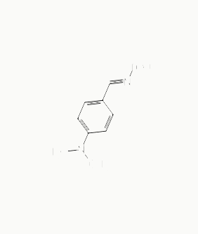 CCCC/N=C/c1ccc(N(C)C)cc1